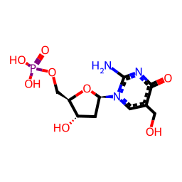 Nc1nc(=O)c(CO)cn1[C@H]1C[C@H](O)[C@@H](COP(=O)(O)O)O1